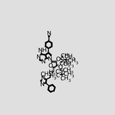 Cn1cnc(-c2ccccc2)c1CSC[C@H]1O[C@@H](n2cc(-c3ccc(C#N)cc3)c3c(N)ncnc32)[C@H](O[Si](C)(C)C(C)(C)C)[C@@H]1O[Si](C)(C)C(C)(C)C